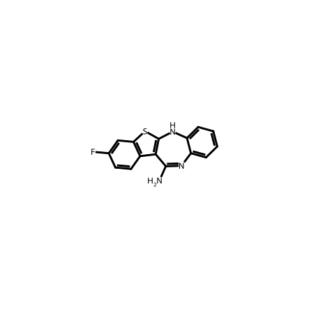 NC1=Nc2ccccc2Nc2sc3cc(F)ccc3c21